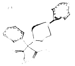 CC(=O)C(C(=O)O)(c1ccccc1)N1CCN(c2ccncc2)CC1.Cl.Cl